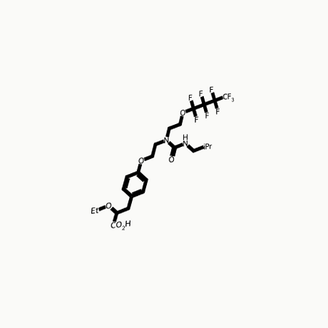 CCOC(Cc1ccc(OCCN(CCOC(F)(F)C(F)(F)C(F)(F)C(F)(F)F)C(=O)NCC(C)C)cc1)C(=O)O